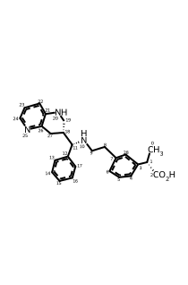 C[C@H](C(=O)O)c1cccc(CCN[C@H](c2ccccc2)[C@H]2CNc3cccnc3C2)c1